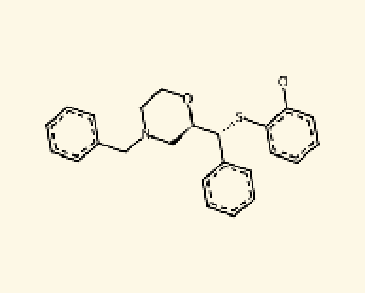 Clc1ccccc1S[C@H](c1ccccc1)[C@H]1CN(Cc2ccccc2)CCO1